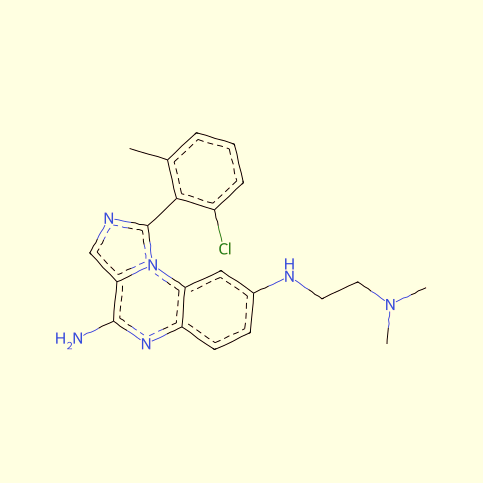 Cc1cccc(Cl)c1-c1ncc2c(N)nc3ccc(NCCN(C)C)cc3n12